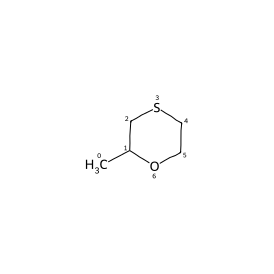 CC1CSCCO1